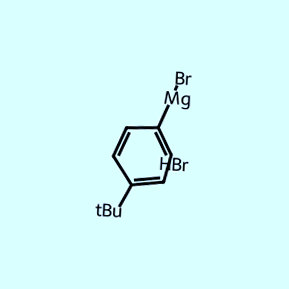 Br.CC(C)(C)c1cc[c]([Mg][Br])cc1